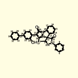 CC1=NN(c2ccccc2)C(=O)C12c1ccccc1-n1c(=O)c(-c3ccc(-c4ccccc4)cc3O)c(C)n12